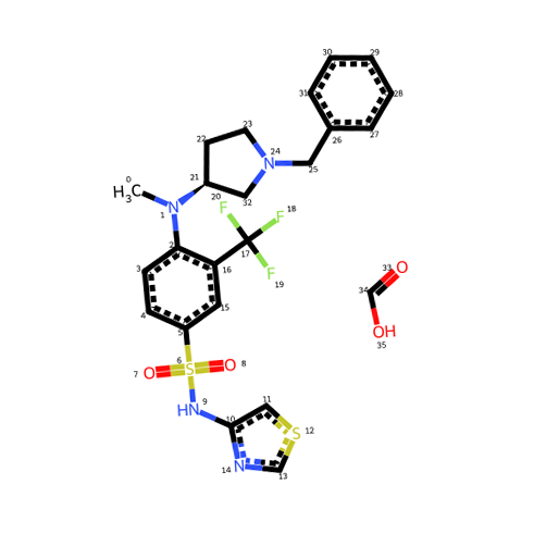 CN(c1ccc(S(=O)(=O)Nc2cscn2)cc1C(F)(F)F)[C@H]1CCN(Cc2ccccc2)C1.O=CO